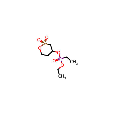 CCOP(=O)(CC)OC1CCOS(=O)(=O)C1